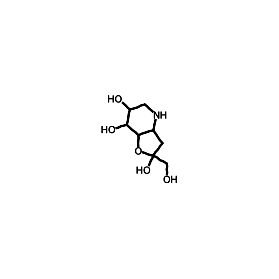 OCC1(O)CC2NCC(O)C(O)C2O1